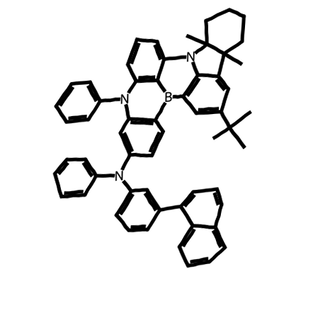 CC(C)(C)c1cc2c3c(c1)C1(C)CCCCC1(C)N3c1cccc3c1B2c1ccc(N(c2ccccc2)c2cccc(-c4cccc5ccccc45)c2)cc1N3c1ccccc1